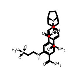 CS(=O)(=O)CCNc1cc(C(=O)NC2CC3CCC(C2)N3c2ccc(C(N)=O)cn2)ccc1C(N)=O